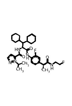 CC(C)n1nccc1C(=O)N[C@H](C(=O)Nc1ccc([C@H](C)C(=O)NCCF)cc1F)C(C1CCCCC1)C1CCCCC1